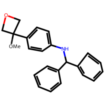 COC1(c2ccc(NC(c3ccccc3)c3ccccc3)cc2)COC1